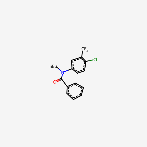 CCCCN(C(=O)c1ccccc1)c1ccc(Cl)c(C(F)(F)F)c1